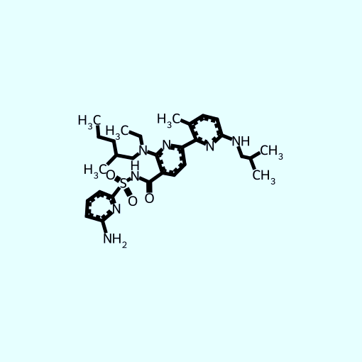 CCCC(C)CN(CC)c1nc(-c2nc(NCC(C)C)ccc2C)ccc1C(=O)NS(=O)(=O)c1cccc(N)n1